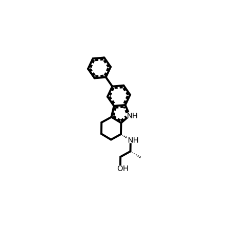 C[C@H](CO)N[C@@H]1CCCc2c1[nH]c1ccc(-c3ccccc3)cc21